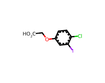 O=C(O)COc1ccc(Cl)c(I)c1